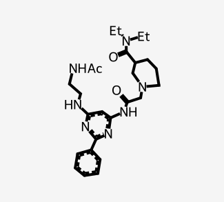 CCN(CC)C(=O)C1CCCN(CC(=O)Nc2cc(NCCNC(C)=O)nc(-c3ccccc3)n2)C1